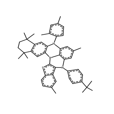 Cc1ccc(N2c3cc4c(cc3B3c5sc6ccc(C)cc6c5N(c5ccc(C(C)(C)C)cc5)c5cc(C)cc2c53)C(C)(C)CCC4(C)C)c(C)c1